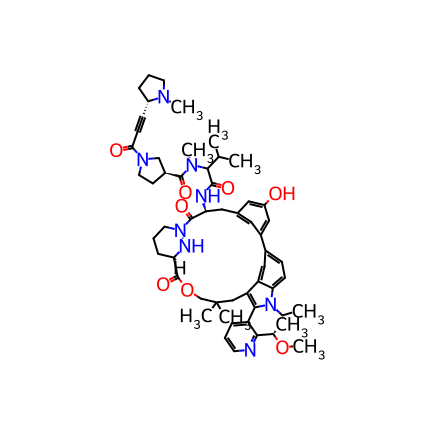 CCn1c(-c2cccnc2[C@H](C)OC)c2c3cc(ccc31)-c1cc(O)cc(c1)C[C@H](NC(=O)C(C(C)C)N(C)C(=O)[C@H]1CCN(C(=O)C#C[C@@H]3CCCN3C)C1)C(=O)N1CCC[C@H](N1)C(=O)OCC(C)(C)C2